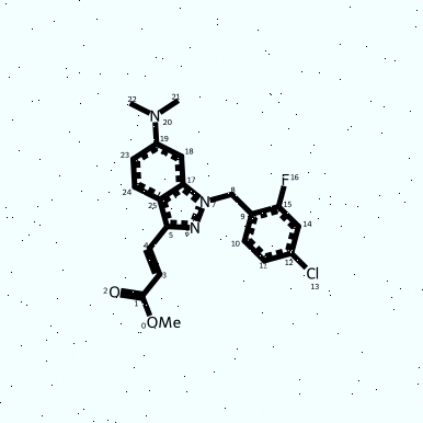 COC(=O)C=Cc1nn(Cc2ccc(Cl)cc2F)c2cc(N(C)C)ccc12